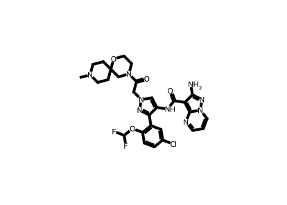 CN1CCC2(CC1)CN(C(=O)Cn1cc(NC(=O)c3c(N)nn4cccnc34)c(-c3cc(Cl)ccc3OC(F)F)n1)CCO2